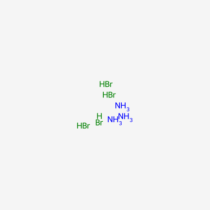 Br.Br.Br.Br.N.N.N